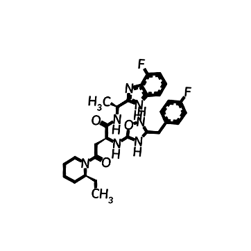 CC[C@H]1CCCCN1C(=O)C[C@H](NC1NC(Cc2ccc(F)cc2)NO1)C(=O)N[C@@H](C)c1nc2c(F)cccc2[nH]1